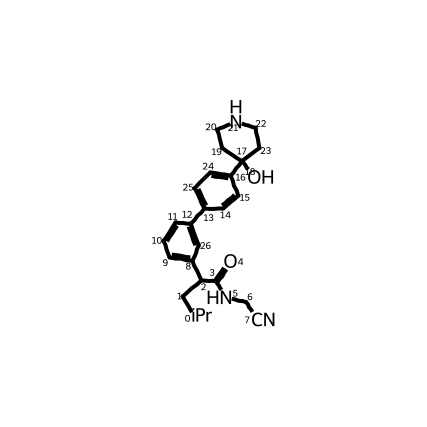 CC(C)CC(C(=O)NCC#N)c1cccc(-c2ccc(C3(O)CCNCC3)cc2)c1